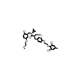 COCCOc1ccc(Cl)c(CN(C(=O)C(CN)Cc2ccc(OCCOc3c(Cl)cc(C)cc3Cl)cc2)C2CC2)c1